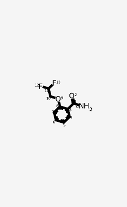 NC(=O)c1ccccc1OCC(F)F